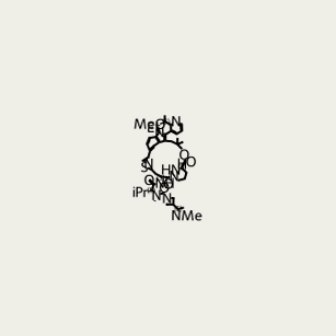 CCn1c(-c2cccnc2[C@H](C)OC)c2c3cc(ccc31)-c1csc(n1)C[C@H](NC(=O)[C@H](C(C)C)N(C)C(=O)N1CC([C@H](C)NC)C1)C(=O)N1CCC[C@H](N1)C(=O)OCC(C)(C)C2